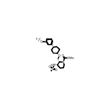 COC(=O)N1CCC[C@H](NS(C)(=O)=O)[C@@H]1CO[C@H]1CC[C@@H](c2cccc(OC(F)(F)F)c2)CC1